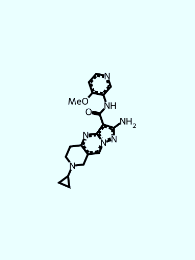 COc1ccncc1NC(=O)c1c(N)nn2cc3c(nc12)CCN(C1CC1)C3